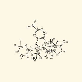 CN(C)c1ccc2c(c1)C[C@]13CCC4(CC(C)(C)COO4)C[C@]1(O)CC[C@@H]1[C@@H]3[C@@H]2C[C@]2(C)C(=O)CC[C@@H]12